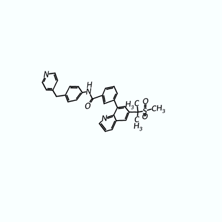 CC(C)(c1cc(-c2cccc(C(=O)Nc3ccc(Cc4ccncc4)cc3)c2)c2ncccc2c1)S(C)(=O)=O